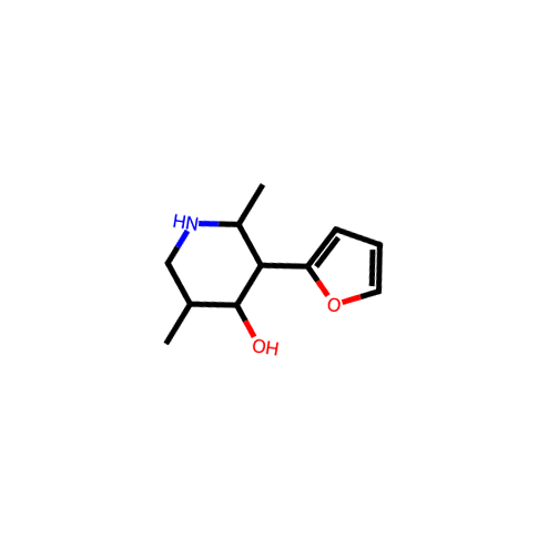 CC1CNC(C)C(c2ccco2)C1O